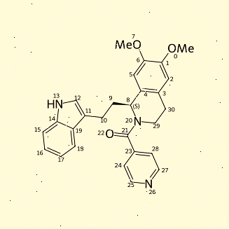 COc1cc2c(cc1OC)[C@H](CCc1c[nH]c3ccccc13)N(C(=O)c1ccncc1)CC2